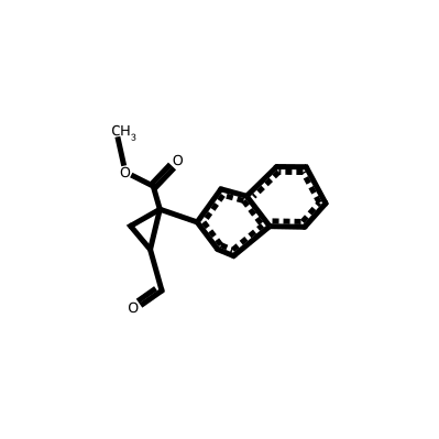 COC(=O)C1(c2ccc3ccccc3c2)CC1C=O